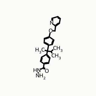 CC(C)C(C)(c1ccc(OCc2ccccn2)cc1)c1ccc(C(=O)NN)cc1